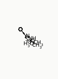 CC(C)(C)OC(=O)Nc1nc(C#Cc2ccccc2)cs1